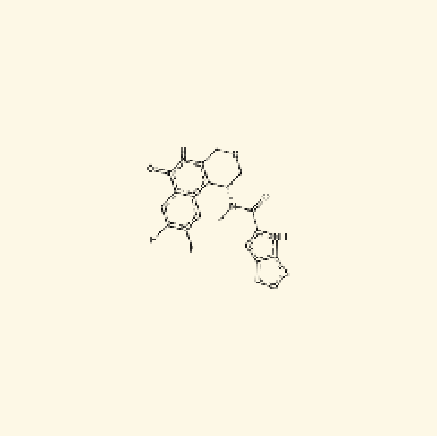 CN(C(=O)c1cc2ccsc2[nH]1)[C@H]1COCc2[nH]c(=O)c3cc(F)c(F)cc3c21